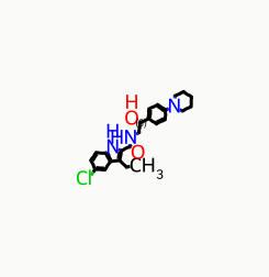 CCc1c(C(=O)NC[C@@H](O)c2ccc(N3CCCCC3)cc2)[nH]c2ccc(Cl)cc12